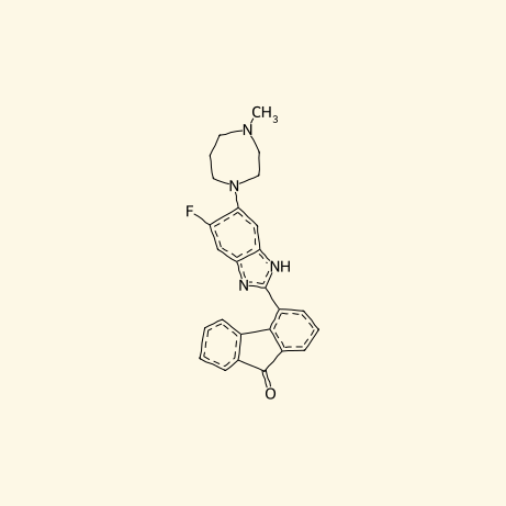 CN1CCCN(c2cc3[nH]c(-c4cccc5c4-c4ccccc4C5=O)nc3cc2F)CC1